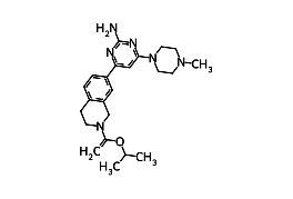 C=C(OC(C)C)N1CCc2ccc(-c3cc(N4CCN(C)CC4)nc(N)n3)cc2C1